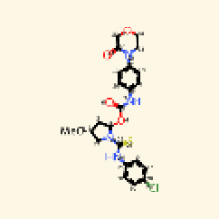 CO[C@@H]1C[C@@H](OC(=O)Nc2ccc(N3CCOCC3=O)cc2)N(C(=S)Nc2ccc(Cl)cc2)C1